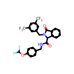 O=C(NCc1ccc(OC(F)F)cc1)C1c2ccccc2C(=O)N1Cc1cc(C(F)(F)F)cc(C(F)(F)F)c1